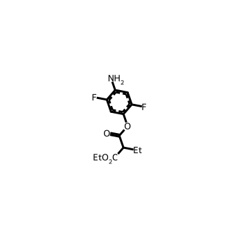 CCOC(=O)C(CC)C(=O)Oc1cc(F)c(N)cc1F